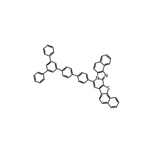 c1ccc(-c2cc(-c3ccccc3)cc(-c3ccc(-c4ccc(-c5cc6c7ccc8ccccc8c7sc6c6nc7c8ccccc8ccc7n56)cc4)cc3)c2)cc1